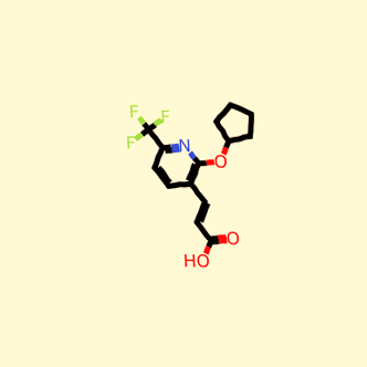 O=C(O)C=Cc1ccc(C(F)(F)F)nc1OC1CCCC1